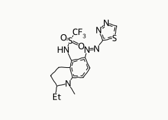 CCC1CCc2c(ccc(N=Nc3nncs3)c2NS(=O)(=O)C(F)(F)F)N1C